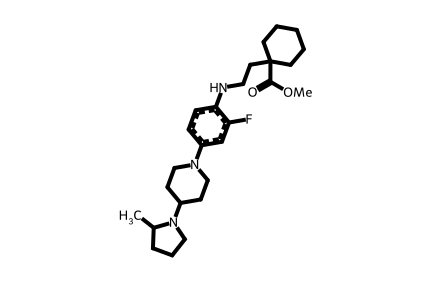 COC(=O)C1(CCNc2ccc(N3CCC(N4CCCC4C)CC3)cc2F)CCCCC1